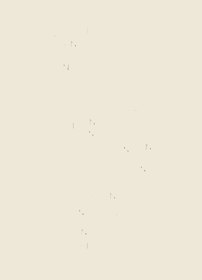 Cc1cc(CN2CCN(C)C(=O)C2)ccc1-n1cc(-c2nc(NC3CCN(S(=O)(=O)c4cn(C)cn4)CC3)ncc2C(F)(F)F)cn1